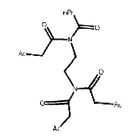 CCCC(=O)N(CCN(C(=O)CC(C)=O)C(=O)CC(C)=O)C(=O)CC(C)=O